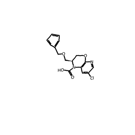 O=C(O)N1c2cc(Cl)cnc2OC[C@@H]1COCc1ccccc1